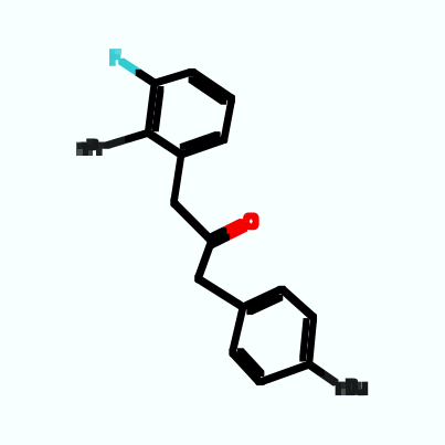 CCCCc1ccc(CC(=O)Cc2cccc(F)c2CCC)cc1